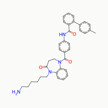 Cc1ccc(-c2ccccc2C(=O)Nc2ccc(C(=O)N3CCC(=O)N(CCCCCCN)c4ccccc43)cc2)cc1